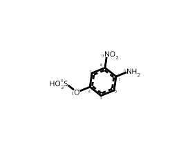 Nc1ccc(OS(=O)(=O)O)cc1[N+](=O)[O-]